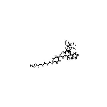 CCCCCCCCc1ccc(CCC(NC(=O)OC(C)(C)C)C(=O)Nc2nnn[nH]2)cc1